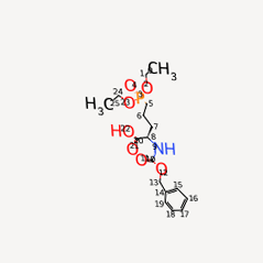 CCOP(=O)(CCC[C@@H](NC(=O)OCc1ccccc1)C(=O)O)OCC